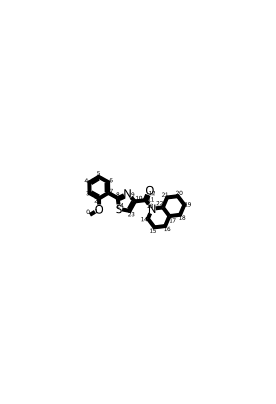 COc1ccccc1-c1nc(C(=O)N2CCCC3CCCCC32)cs1